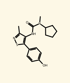 Cc1nsc(-c2ccc(O)cc2)c1NC(=O)N(C)C1CCCC1